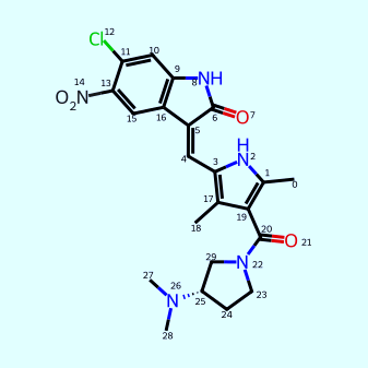 Cc1[nH]c(/C=C2\C(=O)Nc3cc(Cl)c([N+](=O)[O-])cc32)c(C)c1C(=O)N1CC[C@H](N(C)C)C1